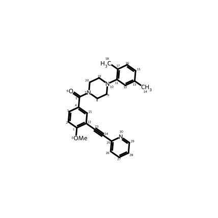 COc1ccc(C(=O)N2CCN(c3cc(C)ccc3C)CC2)cc1C#Cc1ccccn1